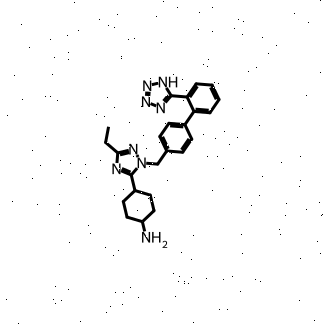 CCc1nc(C2CCC(N)CC2)n(Cc2ccc(-c3ccccc3-c3nnn[nH]3)cc2)n1